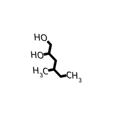 CCC(C)CC(O)CO